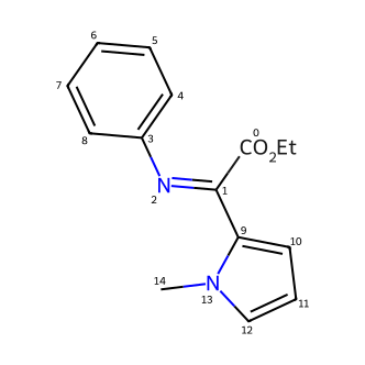 CCOC(=O)/C(=N\c1ccccc1)c1cccn1C